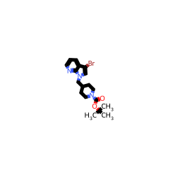 CC(C)(C)OC(=O)N1CCC(Cn2cc(Br)c3cccnc32)CC1